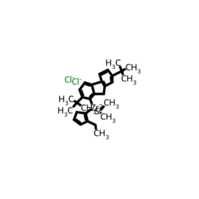 CCC1=[C]([Zr+2]([c]2c(C(C)(C)C)ccc3c2Cc2cc(C(C)(C)C)ccc2-3)=[Si](C)C)CC=C1.[Cl-].[Cl-]